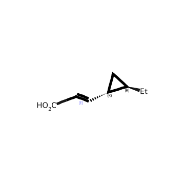 CC[C@@H]1C[C@H]1/C=C/C(=O)O